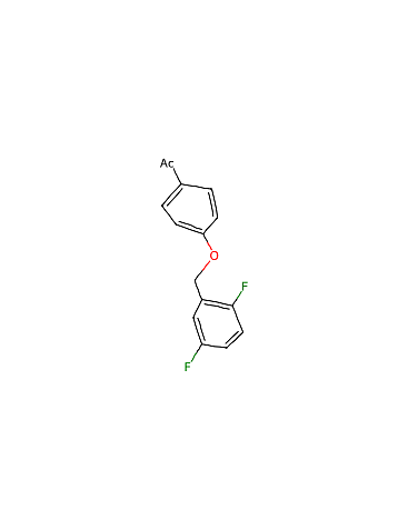 CC(=O)c1ccc(OCc2cc(F)ccc2F)cc1